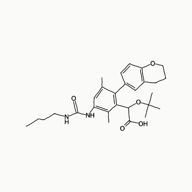 CCCCNC(=O)Nc1cc(C)c(-c2ccc3c(c2)CCCO3)c(C(OC(C)(C)C)C(=O)O)c1C